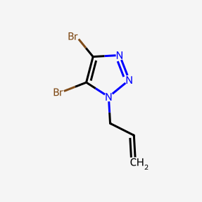 C=CCn1nnc(Br)c1Br